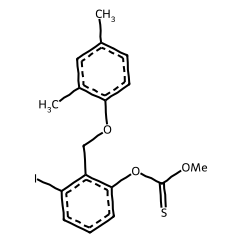 COC(=S)Oc1cccc(I)c1COc1ccc(C)cc1C